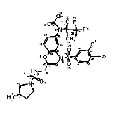 CC1CCN(S(=O)(=O)NC[C@H]2CN(S(=O)(=O)c3ccc(F)c(Cl)c3)c3cc(N(C(=O)O)C(C)(C)C(F)(F)F)ccc3O2)C1